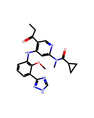 CCC(=O)c1cnc(N(C)C(=O)C2CC2)cc1Nc1cccc(-c2nc[nH]n2)c1OC